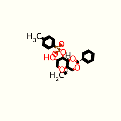 C=C[C@@]12CO[C@@H](c3ccccc3)O[C@H]1[C@H](OS(=O)(=O)c1ccc(C)cc1)[C@@H](O)CO2